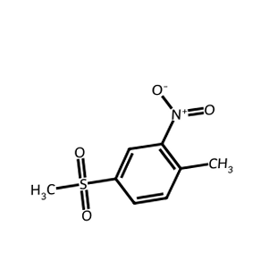 Cc1ccc(S(C)(=O)=O)cc1[N+](=O)[O-]